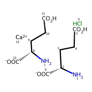 Cl.N[C@@H](CCC(=O)O)C(=O)[O-].N[C@@H](CCC(=O)O)C(=O)[O-].[Ca+2]